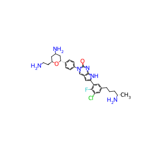 C[C@H](N)CCCc1cc(Cl)c(F)c(-c2cc3cn(-c4ccc([C@H]5C[C@H](N)C[C@H](CCN)O5)cc4)c(=O)nc3[nH]2)c1